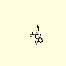 C#CCOC(=O)C(=Cc1ccccc1OC)C(C)=O